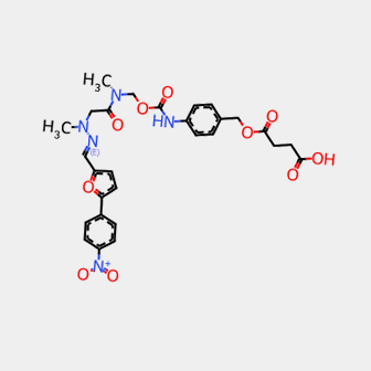 CN(CC(=O)N(C)COC(=O)Nc1ccc(COC(=O)CCC(=O)O)cc1)/N=C/c1ccc(-c2ccc([N+](=O)[O-])cc2)o1